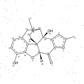 Cc1cc2c(o1)C(=O)[C@@H]1Oc3c(O)ccc4c3[C@@]13CCN(C)C(C4)[C@]23O